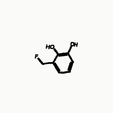 Oc1cccc(CF)c1O